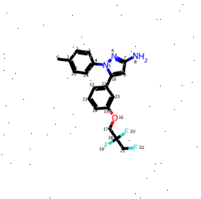 Cc1ccc(-n2nc(N)cc2-c2cccc(OCC(F)(F)CF)c2)cc1